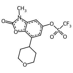 Cn1c(=O)oc2c(C3CCOCC3)cc(OS(=O)(=O)C(F)(F)F)cc21